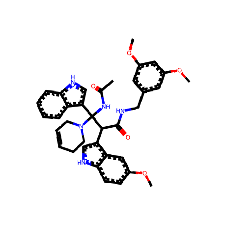 COc1cc(CNC(=O)C(c2c[nH]c3ccc(OC)cc23)C(NC(C)=O)(c2c[nH]c3ccccc23)N2CC=CCC2)cc(OC)c1